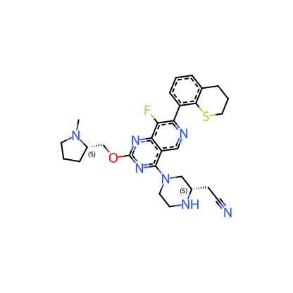 CN1CCC[C@H]1COc1nc(N2CCN[C@@H](CC#N)C2)c2cnc(-c3cccc4c3SCCC4)c(F)c2n1